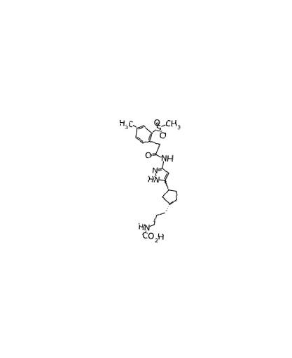 Cc1ccc(CC(=O)Nc2cc([C@H]3CC[C@H](CCCNC(=O)O)C3)[nH]n2)c(S(C)(=O)=O)c1